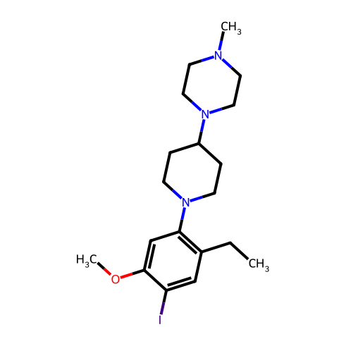 CCc1cc(I)c(OC)cc1N1CCC(N2CCN(C)CC2)CC1